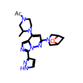 CC(=O)N1CCN(c2cc(N3CC4CC(C3)O4)nn3c(-c4cc[nH]n4)ncc23)C(C)C1